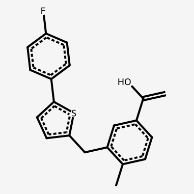 C=C(O)c1ccc(C)c(Cc2ccc(-c3ccc(F)cc3)s2)c1